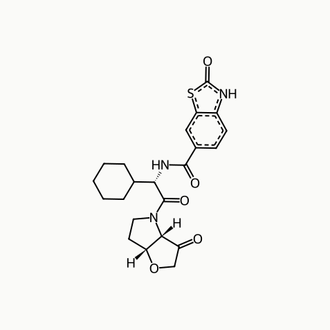 O=C(N[C@H](C(=O)N1CC[C@H]2OCC(=O)[C@H]21)C1CCCCC1)c1ccc2[nH]c(=O)sc2c1